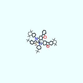 CC(C)(C)c1ccc(N2B3c4sc5ccc(C(C)(C)C)cc5c4N(c4ccc5c(c4)C(C)(C)CCC5(C)C)c4cc5c(oc6ccccc65)c(c43)-c3cc4c(cc32)oc2cc3c(cc24)C(C)(C)CCC3(C)C)cc1